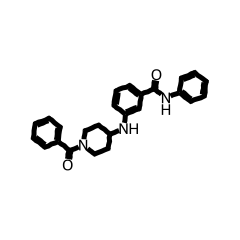 O=C(Nc1ccccc1)c1cccc(NC2CCN(C(=O)c3ccccc3)CC2)c1